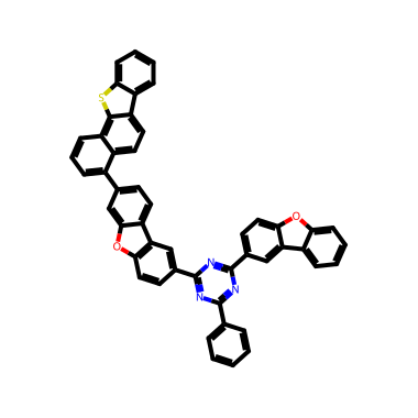 c1ccc(-c2nc(-c3ccc4oc5ccccc5c4c3)nc(-c3ccc4oc5cc(-c6cccc7c6ccc6c8ccccc8sc76)ccc5c4c3)n2)cc1